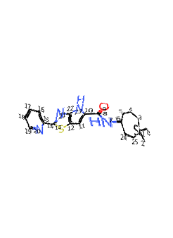 C[Si]1(C)CCCC(NC(=O)c2cc3sc(-c4ccccn4)nc3[nH]2)CC1